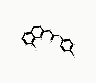 O=C(Cc1ccc2cccc(Cl)c2n1)Nc1ccc(F)cc1